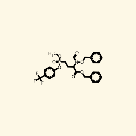 COP(=O)(CCC(C(=O)OCc1ccccc1)N(C=O)OCc1ccccc1)Oc1ccc(C(F)(F)F)cc1